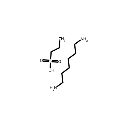 CCCS(=O)(=O)O.NCCCCCCN